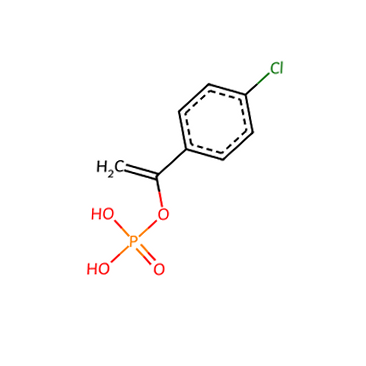 C=C(OP(=O)(O)O)c1ccc(Cl)cc1